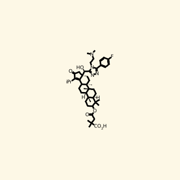 CC(C)C1=C2C3CC[C@@H]4[C@@]5(C)CCC(OC(=O)CC(C)(C)C(=O)O)C(C)(C)[C@@H]5CC[C@@]4(C)[C@]3(C)CC[C@@]2([C@@H](O)c2nnc(-c3ccc(F)cc3)n2CCN(C)C)CC1=O